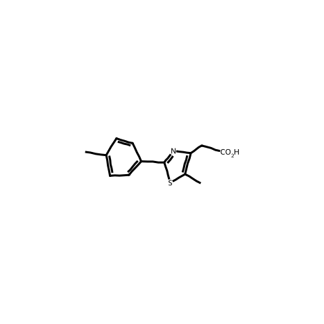 Cc1ccc(-c2nc(CC(=O)O)c(C)s2)cc1